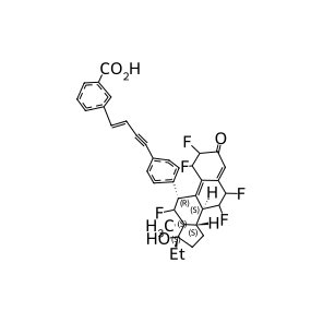 CC[C@]1(O)CC[C@H]2[C@H]3C(=C4C(=CC(=O)C(F)C4F)C(F)C3F)[C@@H](c3ccc(C#CC=Cc4cccc(C(=O)O)c4)cc3)C(F)[C@@]21C